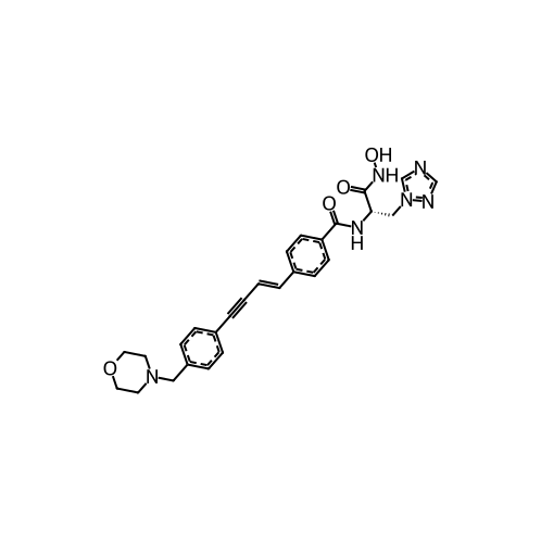 O=C(N[C@@H](Cn1cncn1)C(=O)NO)c1ccc(/C=C/C#Cc2ccc(CN3CCOCC3)cc2)cc1